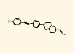 CC=CC1CCC2CC(c3ccc(C#Cc4ccc(F)cc4)cc3)CCC2C1